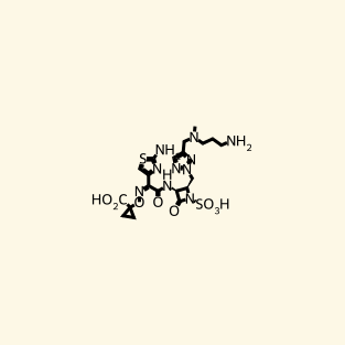 CN(CCCN)Cc1cnn(C[C@@H]2[C@H](NC(=O)/C(=N\OC3(C(=O)O)CC3)c3csc(N)n3)C(=O)N2S(=O)(=O)O)n1